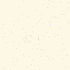 COC1CC(c2cccc(N3Cc4c(cc(/C=N\[S+]([O-])C(C)(C)C)cc4C(F)(F)F)C3=O)c2)(c2nncn2C)C1